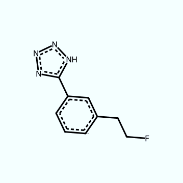 FCCc1[c]ccc(-c2nnn[nH]2)c1